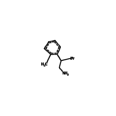 Cc1ccccc1C(CN)C(C)C